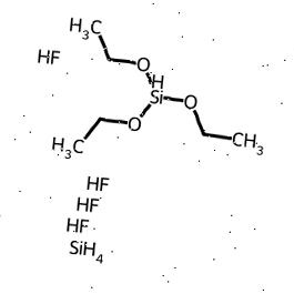 CCO[SiH](OCC)OCC.F.F.F.F.[SiH4]